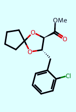 COC(=O)[C@@H]1OC2(CCCC2)O[C@H]1Cc1ccccc1Cl